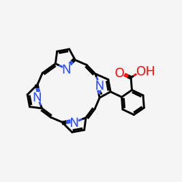 O=C(O)c1ccccc1C1=CC2=CC3=NC(=CC4=NC(=CC5=NC(=CC1=N2)C=C5)C=C4)C=C3